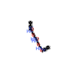 CC(OCNCCCOCCCNC(=O)NCCCOCCCNC(=O)C(C)[n+]1ccc(-c2ccccc2)cc1)[n+]1ccc(-c2ccccc2)cc1